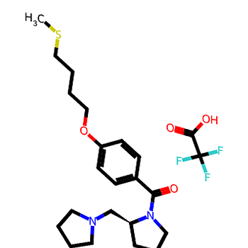 CSCCCCOc1ccc(C(=O)N2CCC[C@H]2CN2CCCC2)cc1.O=C(O)C(F)(F)F